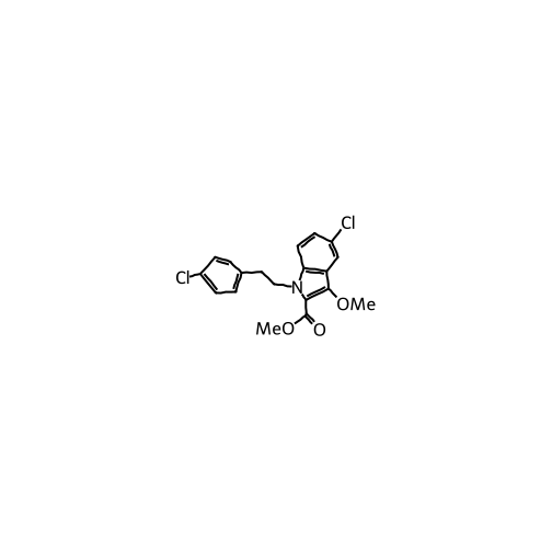 COC(=O)c1c(OC)c2cc(Cl)ccc2n1CCc1ccc(Cl)cc1